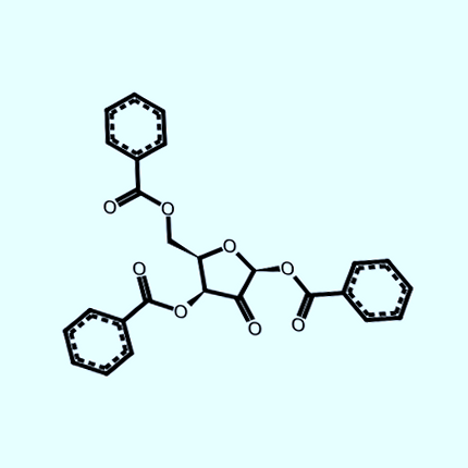 O=C(OC[C@H]1O[C@@H](OC(=O)c2ccccc2)C(=O)[C@H]1OC(=O)c1ccccc1)c1ccccc1